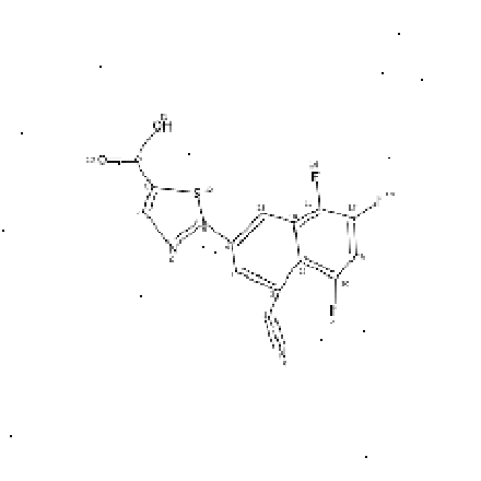 N#Cc1cc(-c2ncc(C(=O)O)s2)cc2c(F)c(F)cc(F)c12